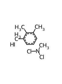 CN(Cl)Cl.Cc1cccc(C)c1C.I